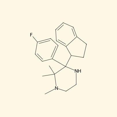 CN1CCNC(c2ccc(F)cc2)(C2CCc3ccccc32)C1(C)C